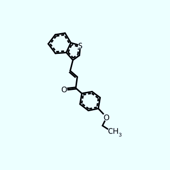 CCOc1ccc(C(=O)C=Cc2csc3ccccc23)cc1